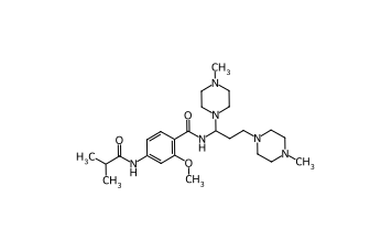 COc1cc(NC(=O)C(C)C)ccc1C(=O)NC(CCN1CCN(C)CC1)N1CCN(C)CC1